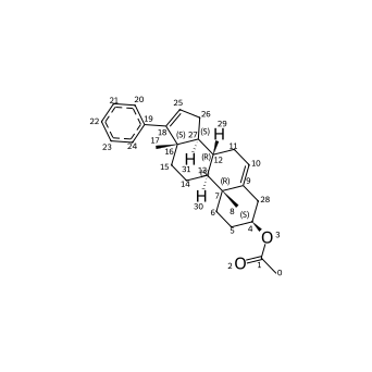 CC(=O)O[C@H]1CC[C@@]2(C)C(=CC[C@@H]3[C@@H]2CC[C@]2(C)C(c4ccccc4)=CC[C@@H]32)C1